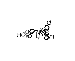 Cc1c(Cl)cccc1N(CC(=O)NCc1cccc(O[C@H](C)C(=O)O)c1)S(=O)(=O)c1ccc(Cl)cc1